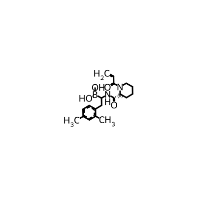 C=CC(=O)N1CCCC[C@@H]1C(=O)NC(Cc1ccc(C)cc1C)B(O)O